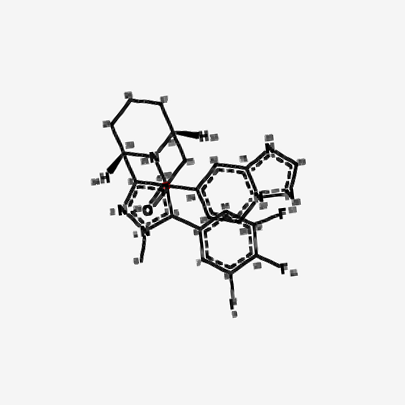 Cn1nc2c(c1-c1cc(F)c(F)c(F)c1)C[C@H]1CCC[C@@H]2N1C(=O)c1ccn2ncnc2c1